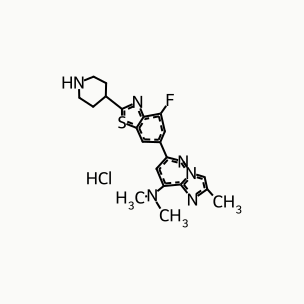 Cc1cn2nc(-c3cc(F)c4nc(C5CCNCC5)sc4c3)cc(N(C)C)c2n1.Cl